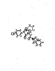 O=C(CN1C(=O)C(c2ccc(Cl)cc2)=NC12CCCCC2)N1Cc2ccccc2C1